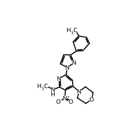 CNc1nc(-n2ccc(-c3cccc(C)c3)n2)cc(N2CCOCC2)c1[N+](=O)[O-]